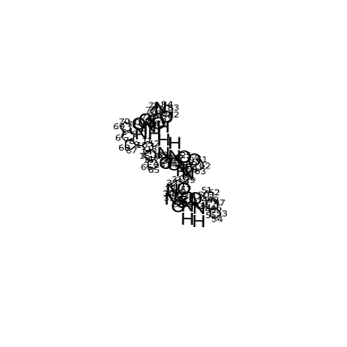 O=C(Nc1c2c(cc3c1C(C1CCc4c1cc1c(c4NC(=O)NS(=O)(=O)c4nn(CC5CCn6cnc(S(=O)(=O)NC(=O)Nc7c8c(cc9c7CCC9)CCC8)c6O5)c5c4OCCC5)CCC1)CC3)CCC2)NS(=O)(=O)c1ccn2c1OCCC2